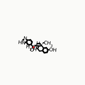 CC[C@H]1[C@H]2Cc3ccc(O)cc3[C@]1(CC)CCN2C(=O)c1ccc2nc[nH]c2c1